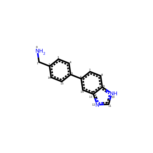 NCc1ccc(-c2ccc3[nH]cnc3c2)cc1